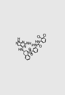 Nc1nc(NC2Cc3ccccc3N(S(=O)(=O)c3cccc(NC(=O)Nc4cccc(Cl)c4Cl)c3)C2)c2cn[nH]c2n1